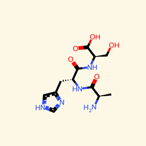 C[C@@H](N)C(=O)N[C@H](Cc1c[nH]cn1)C(=O)N[C@H](CO)C(=O)O